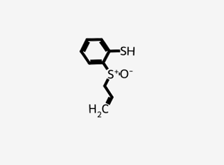 C=CC[S+]([O-])c1ccccc1S